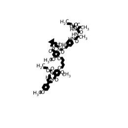 C=CCOC(=O)N[C@H](C(=O)N[C@@H](C)C(=O)Nc1ccc(COC(=O)N2c3cc(OCCCCCOc4cc5c(cc4OC)C(=O)N4C=C(c6ccc(OC)cc6)C[C@H]4CN5C(=O)OCC=C)c(OC)cc3C(=O)N3CC4(CC4)C[C@H]3C2O)cc1)C(C)C